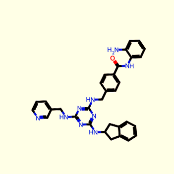 Nc1ccccc1NC(=O)c1ccc(CNc2nc(NCc3cccnc3)nc(NC3Cc4ccccc4C3)n2)cc1